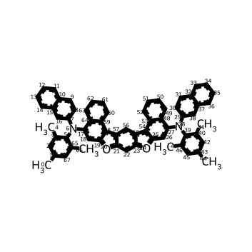 Cc1cc(C)c(N(c2ccc3ccccc3c2)c2cc3oc4cc5oc6cc(N(c7ccc8ccccc8c7)c7c(C)cc(C)cc7C)c7ccccc7c6c5cc4c3c3ccccc23)c(C)c1